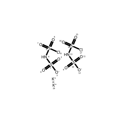 O=S(=O)([O-])NS(=O)(=O)Cl.O=S(=O)([O-])NS(=O)(=O)Cl.[K+].[K+]